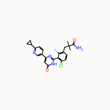 CC(C)(Cc1ccc(Cl)c(-c2nc(-c3ccc(C4CC4)nc3)cc(=O)[nH]2)c1F)C(N)=O